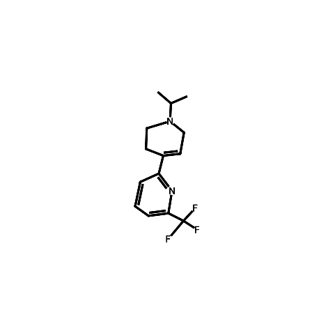 CC(C)N1CC=C(c2cccc(C(F)(F)F)n2)CC1